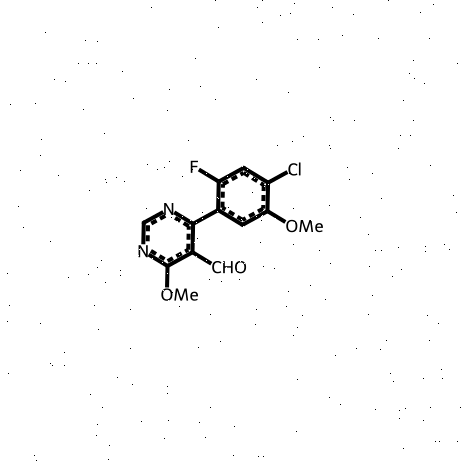 COc1cc(-c2ncnc(OC)c2C=O)c(F)cc1Cl